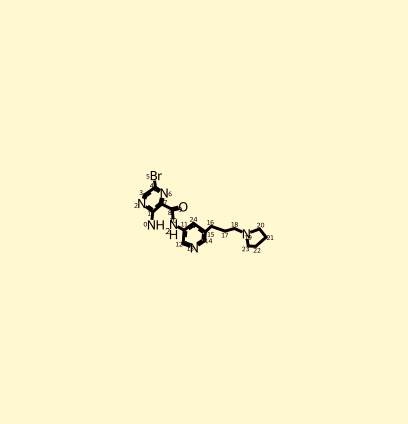 Nc1ncc(Br)nc1C(=O)Nc1cncc(CCCN2CCCC2)c1